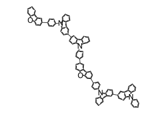 c1ccc(-n2c3ccccc3c3cc(-c4ccc5c(c4)c4ccccc4n5-c4ccc(-c5ccc6c(c5)oc5ccc(-c7ccc(-n8c9ccccc9c9cc(-c%10ccc%11c(c%10)c%10ccccc%10n%11-c%10ccc(-c%11ccc%12oc%13ccccc%13c%12c%11)cc%10)ccc98)cc7)cc56)cc4)ccc32)cc1